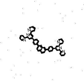 c1ccc(-c2cc(-c3ccc(-c4ccc5ccc(-c6ccc(-c7cc(-c8ccccn8)nc(-c8ccccn8)c7)cc6)cc5c4)cc3)cc(-c3ccccn3)n2)nc1